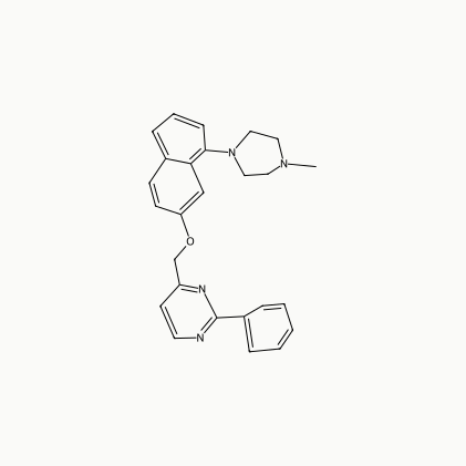 CN1CCN(c2cccc3ccc(OCc4ccnc(-c5ccccc5)n4)cc23)CC1